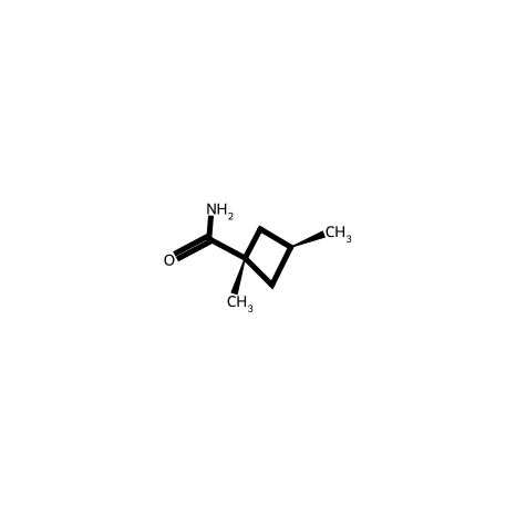 C[C@H]1C[C@](C)(C(N)=O)C1